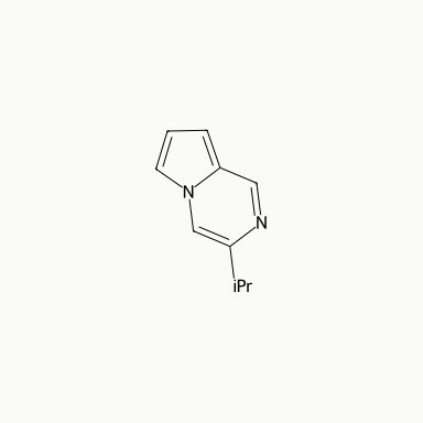 CC(C)c1cn2cccc2cn1